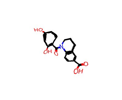 O=C(O)c1ccc2c(c1)CCCN2C(=O)c1ccc(O)cc1O